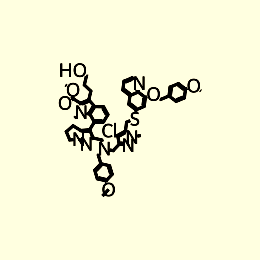 COC(=O)c1c(CCCO)c2ccc(Cl)c(-c3c(CN(Cc4ccc(OC)cc4)Cc4cc(CSc5cc(OCc6ccc(OC)cc6)c6ncccc6c5)n(C)n4)nn4c3CCC4)c2n1C